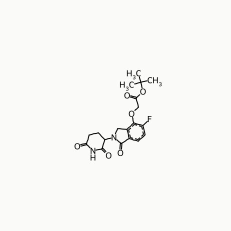 CC(C)(C)OC(=O)COc1c(F)ccc2c1CN(C1CCC(=O)NC1=O)C2=O